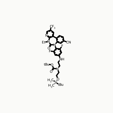 CCN1C(=O)N(c2c(F)cc(NCCN(CCO[Si](C)(C)C(C)(C)C)C(=O)OC(C)(C)C)cc2F)c2cc(C#N)ccc2-c2cc(C(F)(F)F)cnc21